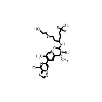 CCN(C(=O)NC(CCOCCO)CCC(C)(F)F)[C@H](C)c1cc(-c2cn3ncnc3c(Cl)n2)c(C)cn1